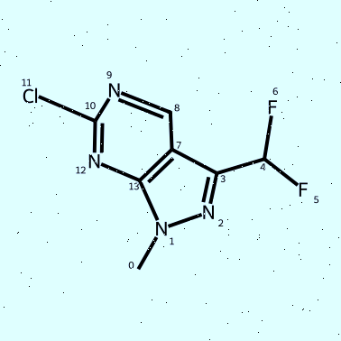 Cn1nc(C(F)F)c2cnc(Cl)nc21